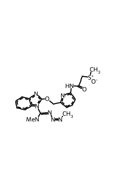 C/N=N\N=C(/NC)n1c(OCc2cccc(NC(=O)C[S+](C)[O-])n2)nc2ccccc21